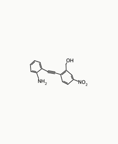 Nc1ccccc1C#Cc1ccc([N+](=O)[O-])cc1CO